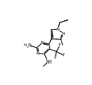 CCn1cc(-c2nc(N)nc(NC)c2C(F)(F)F)c(C)n1